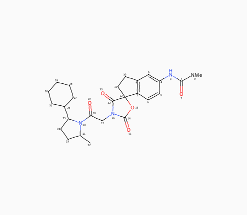 CNC(=O)Nc1ccc2c(c1)CCC21OC(=O)N(CC(=O)N2C(C)CCC2C2CCCCC2)C1=O